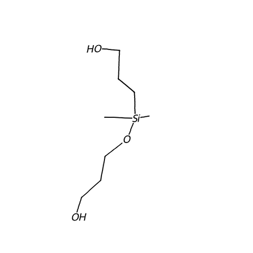 C[Si](C)(CCCO)OCCCO